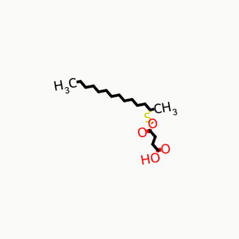 CCCCCCCCCCCCC(C)SOC(=O)CCC(=O)O